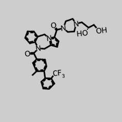 Cc1cc(C(=O)N2Cc3ccc(C(=O)N4CCN(C[C@@H](O)CO)CC4)n3Cc3ccccc32)ccc1-c1ccccc1C(F)(F)F